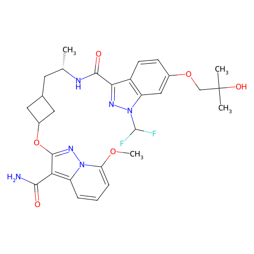 COc1cccc2c(C(N)=O)c(OC3CC(C[C@H](C)NC(=O)c4nn(C(F)F)c5cc(OCC(C)(C)O)ccc45)C3)nn12